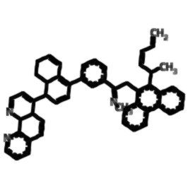 C=C/C=C\C(C)c1c(C/C(=N\C)c2cccc(C3=C4C=CCCC4C(C4=CC=NC5c6ncccc6C=CC45)C=C3)c2)c2ccccc2c2ccccc12